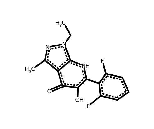 CCn1nc(C)c2c(=O)c(O)c(-c3c(F)cccc3F)[nH]c21